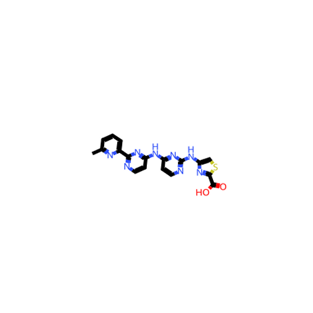 Cc1cccc(-c2nccc(Nc3ccnc(Nc4csc(C(=O)O)n4)n3)n2)n1